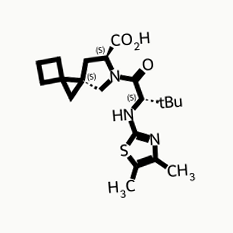 Cc1nc(N[C@H](C(=O)N2C[C@]3(C[C@H]2C(=O)O)CC32CCC2)C(C)(C)C)sc1C